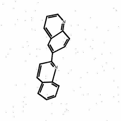 c1cnc2ccc(-c3ccc4ccccc4n3)cc2c1